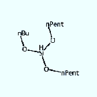 CCCCCO[SiH](OCCCC)OCCCCC